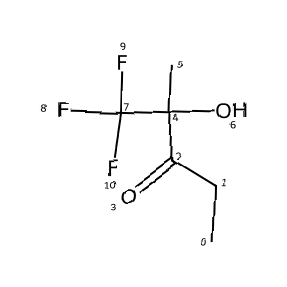 CCC(=O)C(C)(O)C(F)(F)F